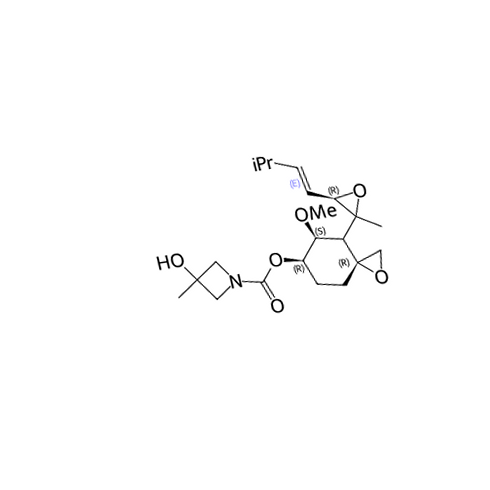 CO[C@H]1C(C2(C)O[C@@H]2/C=C/C(C)C)[C@]2(CC[C@H]1OC(=O)N1CC(C)(O)C1)CO2